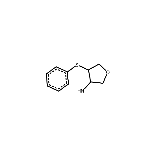 [NH]C1COCC1Sc1ccccc1